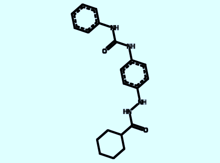 O=C(Nc1ccccc1)Nc1ccc(NNC(=O)C2CCCCC2)cc1